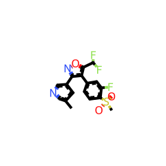 Cc1cncc(-c2noc(C(F)F)c2-c2ccc(S(C)(=O)=O)c(F)c2)c1